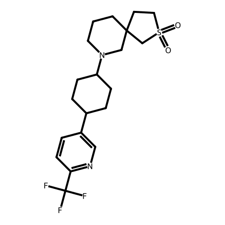 O=S1(=O)CCC2(CCCN(C3CCC(c4ccc(C(F)(F)F)nc4)CC3)C2)C1